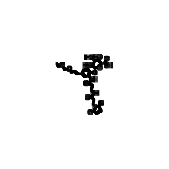 CCOCOC/C=C/c1ccc(O[C@@H]2O[C@H](C(=O)O)[C@@H](O)[C@H](O)[C@H]2O)c(NC(=O)CCNC(=O)CCN2C(=O)C=CC2=O)c1